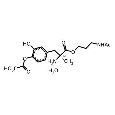 CC(=O)NCCCOC(=O)[C@@](C)(N)Cc1ccc(OC(=O)C(=O)O)c(O)c1.O